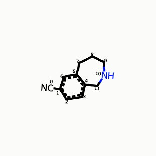 N#Cc1ccc2c(c1)CCCNC2